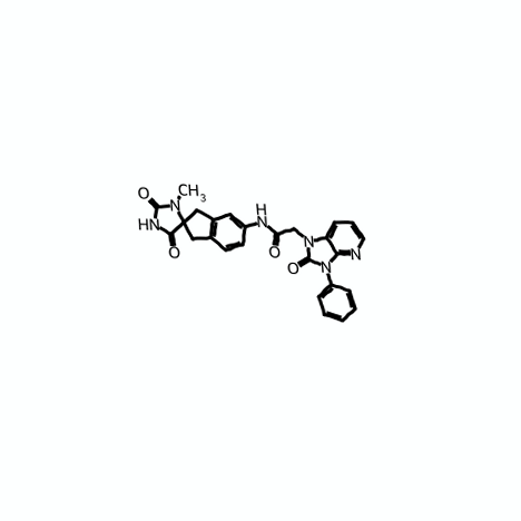 CN1C(=O)NC(=O)C12Cc1ccc(NC(=O)Cn3c(=O)n(-c4ccccc4)c4ncccc43)cc1C2